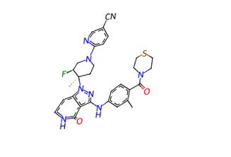 Cc1cc(Nc2nn([C@]3(C)CCN(c4ccc(C#N)cn4)C[C@@H]3F)c3cc[nH]c(=O)c23)ccc1C(=O)N1CCSCC1